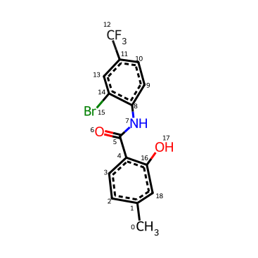 Cc1ccc(C(=O)Nc2ccc(C(F)(F)F)cc2Br)c(O)c1